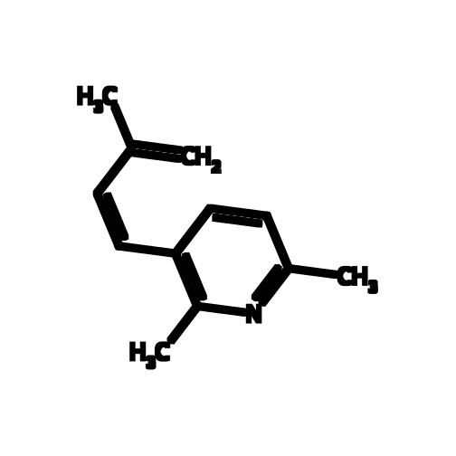 C=C(C)/C=C\c1ccc(C)nc1C